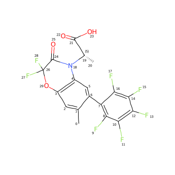 Cc1cc2c(cc1-c1c(F)c(F)c(F)c(F)c1F)N([C@@H](C)C(=O)O)C(=O)C(F)(F)O2